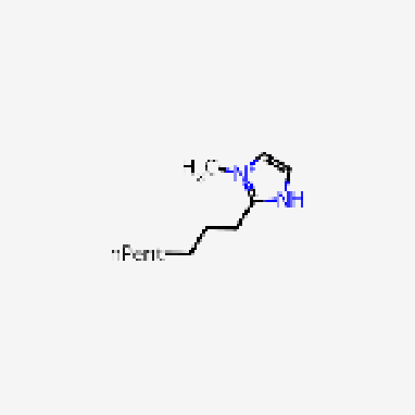 CCCCCCCCc1[nH]cc[n+]1C